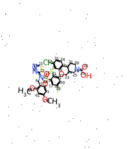 COc1ccc(CN(c2nncs2)S(=O)(=O)c2cc(F)cc(OCC3CN(C(=O)O)CC[C@@H]3c3ccc(Cl)cc3)c2F)c(OC)c1